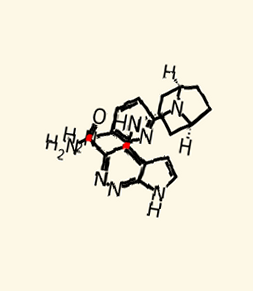 NC(=O)c1nnc2[nH]ccc2c1N[C@@H]1C[C@H]2CC[C@@H](C1)N2c1ccc(N)cn1